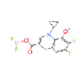 COc1c(F)c(F)cc2c1N(C1CC1)C=C(C(=O)OB(F)F)C2